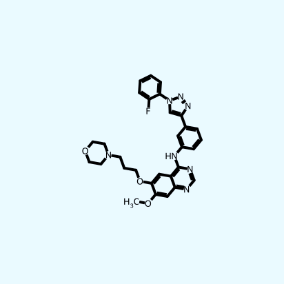 COc1cc2ncnc(Nc3cccc(-c4cn(-c5ccccc5F)nn4)c3)c2cc1OCCCN1CCOCC1